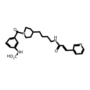 O=C(O)Nc1cccc(C(=O)N2CCC(CCCCNC(=O)/C=C/c3cccnc3)CC2)c1